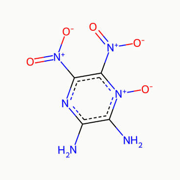 Nc1nc([N+](=O)[O-])c([N+](=O)[O-])[n+]([O-])c1N